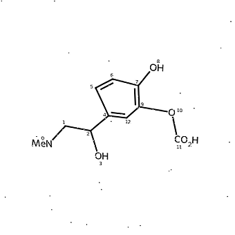 CNCC(O)c1ccc(O)c(OC(=O)O)c1